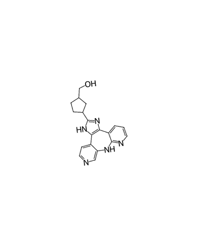 OCC1CCC(c2nc3c([nH]2)-c2ccncc2Nc2ncccc2-3)C1